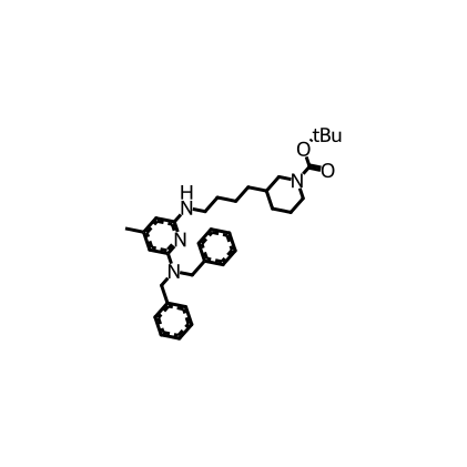 Cc1cc(NCCCCC2CCCN(C(=O)OC(C)(C)C)C2)nc(N(Cc2ccccc2)Cc2ccccc2)c1